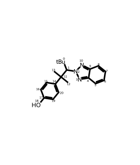 CC(C)(C)C(n1nc2ccccc2n1)C(C)(C)c1ccc(O)cc1